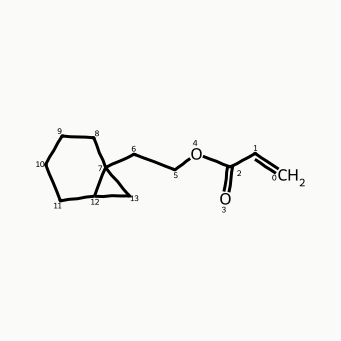 C=CC(=O)OCCC12CCCCC1C2